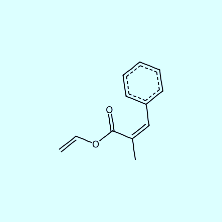 C=COC(=O)C(C)=Cc1ccccc1